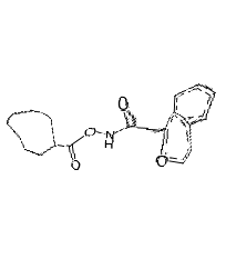 O=C(NOC(=O)C1CCCCC1)c1occ2ccccc12